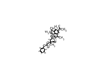 CC(C)c1cc(C(C)C)c(S(=O)(=O)OCCC(C)(C#N)OC(=O)Oc2ccccc2)c(C(C)C)c1